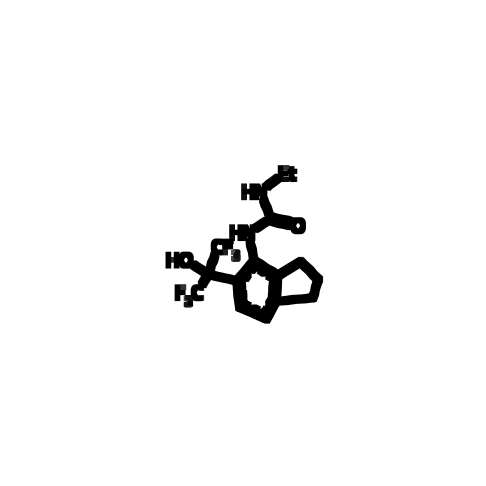 CCNC(=O)Nc1c(C(O)(C(F)(F)F)C(F)(F)F)ccc2c1CCC2